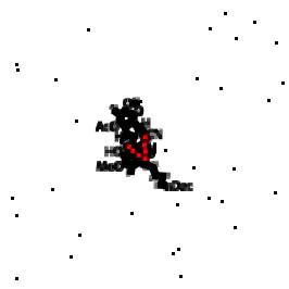 C=CCN1[C@@H]2c3c(cc(C)c(OC)c3O)C[C@H]1[C@H](C#N)N1C2[C@@H]2SCC(NC(=O)CCCCCCCCCCCCCCC)C(=O)OC[C@H]1c1c3c(c(C)c(OC(C)=O)c12)OCO3